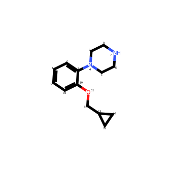 c1ccc(N2CCNCC2)c(OCC2CC2)c1